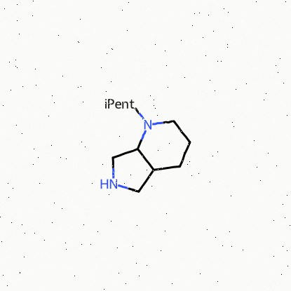 CCCC(C)N1CCCC2CNCC21